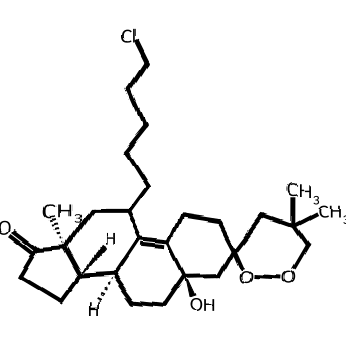 CC1(C)COOC2(CCC3=C4C(CCCCCCl)C[C@]5(C)C(=O)CC[C@H]5[C@@H]4CC[C@@]3(O)C2)C1